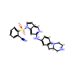 N#Cc1ccccc1S(=O)(=O)n1ccc2cnc(Nc3ccc4c(c3)CC3CNCCN43)cc21